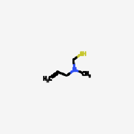 C=CCN(C)CS